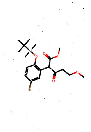 COCCC(=O)C(C(=O)OC)c1cc(Br)ccc1O[Si](C)(C)C(C)(C)C